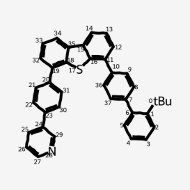 CC(C)(C)c1ccccc1-c1ccc(-c2cccc3c2sc2c(-c4ccc(-c5cccnc5)cc4)cccc23)cc1